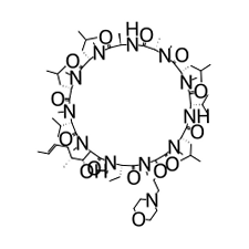 C/C=C/C[C@@H](C)[C@@H](O)[C@H]1C(=O)N(C)[C@@H](CC)C(=O)N(C)[C@H](OCCN2CCOCC2)C(=O)N(C)[C@@H](CC(C)C)C(=O)N[C@@H](C(C)C)C(=O)N(C)[C@@H](CC(C)C)C(=O)N(C)[C@@H](C)C(=O)N[C@H](C)C(=O)N(C)[C@@H](CC(C)C)C(=O)N(C)[C@@H](CC(C)C)C(=O)N(C)[C@@H](C(C)C)C(=O)N1C